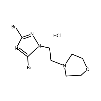 Brc1nc(Br)n(CCN2CCOCC2)n1.Cl